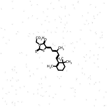 CC(C=CC1=C(C)CCCC1(C)C)=CC=C1SC(=S)N(CC(=O)O)C1=O